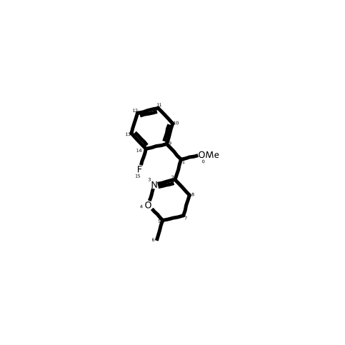 COC(C1=NOC(C)CC1)c1ccccc1F